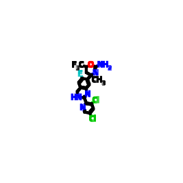 C[C@@]1(c2cc3c(cc2F)CNC(c2ncc(Cl)cc2Cl)=N3)C[C@@H](C(F)(F)F)OC(N)=N1